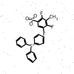 Cc1c(F)c(F)cc(S(=O)(=O)[O-])c1F.c1ccc([S+](c2ccccc2)c2ccccc2)cc1